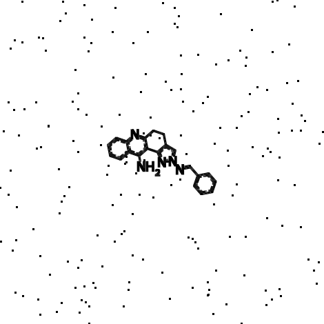 Nc1c2c(nc3ccccc13)CCc1cn(/N=C/c3ccccc3)nc1-2